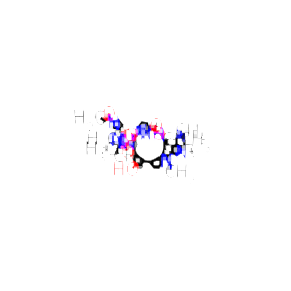 C=CC(=O)N1CC[C@H](C(=O)N(C)C(C(=O)N[C@H]2Cc3cc(O)cc(c3)-c3ccc4c(c3)c(c(-c3cncc(CN(C)C)c3)n4CC)CC(C)(C)COC(=O)[C@@H]3CCCN(N3)C2=O)C(C)C)C1